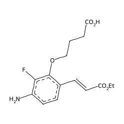 CCOC(=O)C=Cc1ccc(N)c(F)c1OCCCC(=O)O